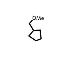 COCC1[CH]CCC1